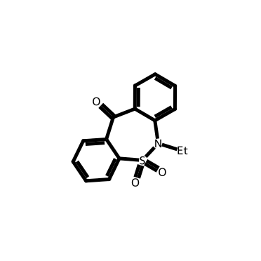 CCN1c2ccccc2C(=O)c2ccccc2S1(=O)=O